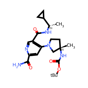 C[C@H](NC(=O)c1cnc(C(N)=O)cc1N1CC[C@](C)(NC(=O)OC(C)(C)C)C1)C1CC1